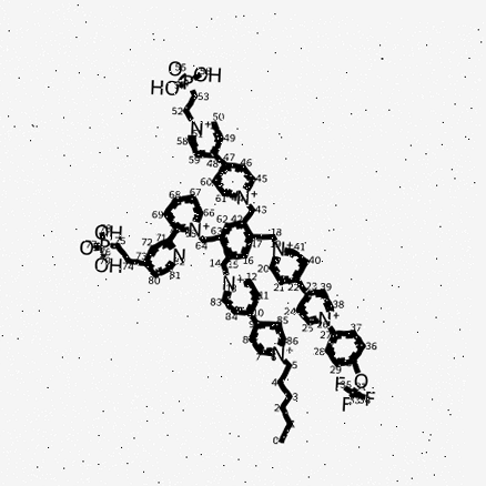 CCCCCC[n+]1ccc(-c2cc[n+](Cc3cc(C[n+]4ccc(-c5cc[n+](-c6ccc(OC(F)(F)F)cc6)cc5)cc4)c(C[n+]4ccc(-c5cc[n+](CCP(=O)(O)O)cc5)cc4)cc3C[n+]3ccccc3-c3cc(CCP(=O)(O)O)ccn3)cc2)cc1